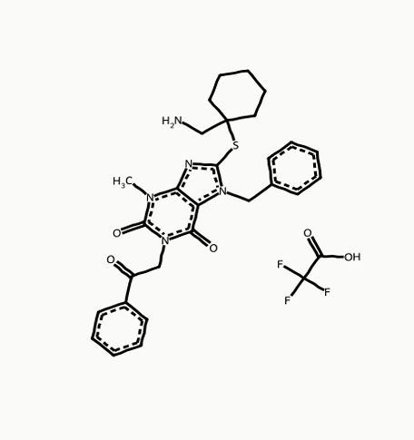 Cn1c(=O)n(CC(=O)c2ccccc2)c(=O)c2c1nc(SC1(CN)CCCCC1)n2Cc1ccccc1.O=C(O)C(F)(F)F